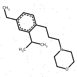 CCc1ccc(CCCN2CCOCC2)c(C(C)C)c1